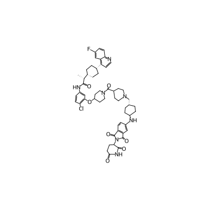 C[C@@H](C(=O)Nc1ccc(Cl)c(OC2CCN(C(=O)C3CCN(C[C@H]4CC[C@H](Nc5ccc6c(c5)C(=O)N(C5CCC(=O)NC5=O)C6=O)CC4)CC3)CC2)c1)[C@H]1CC[C@@H](c2ccnc3ccc(F)cc32)CC1